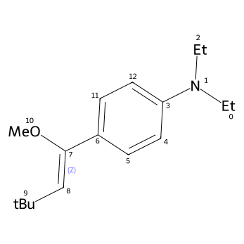 CCN(CC)c1ccc(/C(=C/C(C)(C)C)OC)cc1